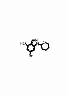 Oc1cc(Br)cc2c1cnn2C1CCCCO1